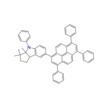 CC1(C)CCC2c3cc(-c4cc(-c5ccccc5)c5ccc6c(-c7ccccc7)cc(-c7ccccc7)c7ccc4c5c67)ccc3N(c3ccccc3)C21C